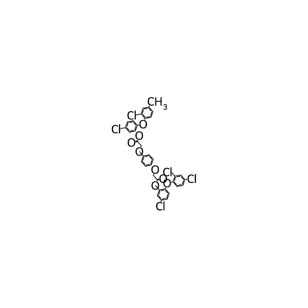 Cc1ccc(Oc2ccc(Cl)cc2OC(=O)COc2ccc(OCC(=O)Oc3cc(Cl)ccc3Oc3ccc(Cl)cc3Cl)cc2)c(Cl)c1